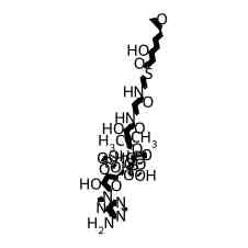 CC(C)(COP(=O)(O)OP(=O)(O)OC[C@H]1O[C@@H](n2cnc3c(N)ncnc32)[C@H](O)[C@@H]1OP(=O)(O)O)[C@@H](O)C(=O)NCCC(=O)NCCSC(=O)C[C@H](O)CCC[C@H]1CO1